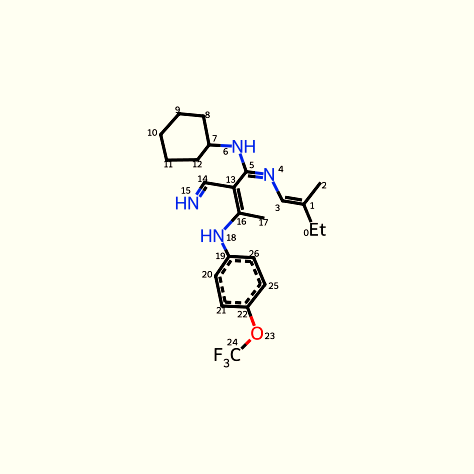 CC/C(C)=C/N=C(NC1CCCCC1)\C(C=N)=C(/C)Nc1ccc(OC(F)(F)F)cc1